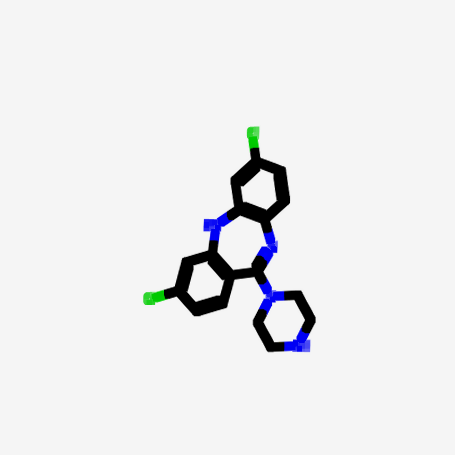 Clc1ccc2c(c1)Nc1cc(Cl)ccc1C(N1CCNCC1)=N2